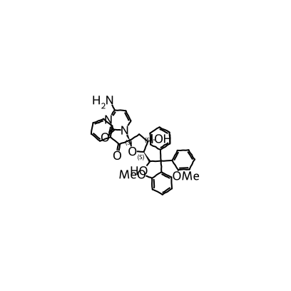 COc1ccccc1C(c1ccccc1)(c1ccccc1OC)C(O)[C@H]1O[C@@](C(=O)c2ccccc2)(n2ccc(N)nc2=O)C[C@@H]1O